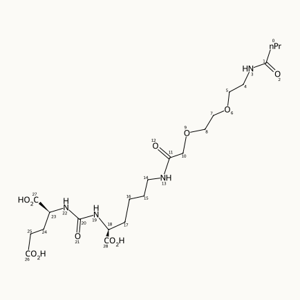 CCCC(=O)NCCOCCOCC(=O)NCCCC[C@H](NC(=O)N[C@@H](CCC(=O)O)C(=O)O)C(=O)O